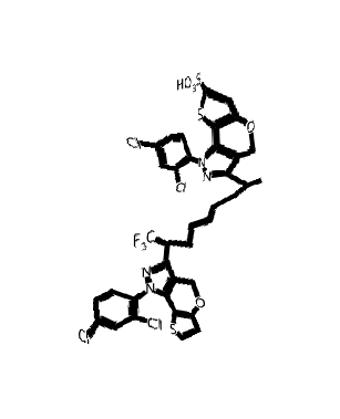 CC(CCCCCC(c1nn(-c2ccc(Cl)cc2Cl)c2c1COc1ccsc1-2)C(F)(F)F)c1nn(-c2ccc(Cl)cc2Cl)c2c1COc1cc(S(=O)(=O)O)sc1-2